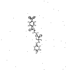 CN1CCN(CCC(C)(C)C(=O)OCCS[S+]([O-])c2ccc([N+](=O)[O-])cc2)CC1